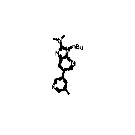 CCCCn1c(N(C)C)nc2cc(-c3cncc(C)c3)cnc21